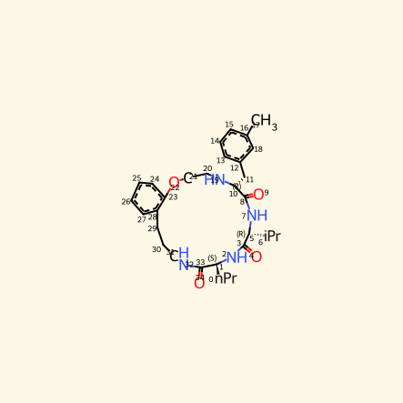 CCC[C@@H]1NC(=O)[C@@H](C(C)C)NC(=O)[C@@H](Cc2cccc(C)c2)NCCOc2ccccc2CCCNC1=O